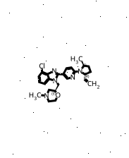 C=C[C@H]1CC[C@H](C)N1c1ccc(-c2nc3c(Cl)cccc3n2C[C@@H]2CN(C)CCO2)cn1